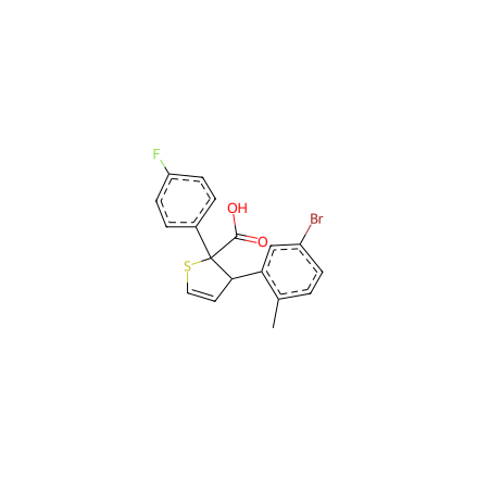 Cc1ccc(Br)cc1C1C=CSC1(C(=O)O)c1ccc(F)cc1